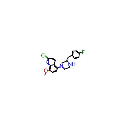 COc1ccc(N2CCN[C@@H](Cc3ccc(F)cc3)C2)c2ccc(Cl)nc12